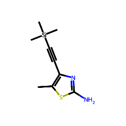 Cc1sc(N)nc1C#C[Si](C)(C)C